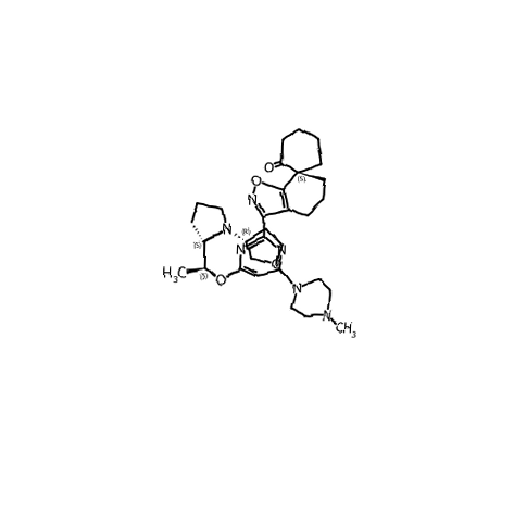 C[C@H](Oc1cc(N2CCN(C)CC2)nc(-c2noc3c2CCC[C@@]32CCCCC2=O)n1)[C@@H]1CCCN1[C@@H]1CCOC1